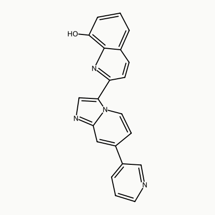 Oc1cccc2ccc(-c3cnc4cc(-c5cccnc5)ccn34)nc12